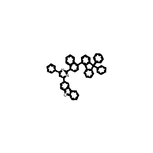 c1ccc(-c2cc(-c3ccc4oc5ccccc5c4c3)nc(-c3ccc(-c4cccc5c4-c4ccccc4C5(c4ccccc4)c4ccccc4)c4ccccc34)n2)cc1